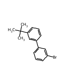 CC(C)(C)c1cccc(-c2cccc(Br)c2)c1